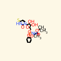 CC(C)OC(=O)[C@H](C)NP(=O)(OCC1OC(n2ccc(=S)[nH]c2=O)C(O)C1O)Oc1ccccc1